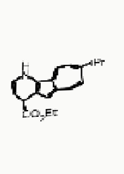 CCOC(=O)C1C=CNc2c3ccc(C(C)C)ccc-3cc21